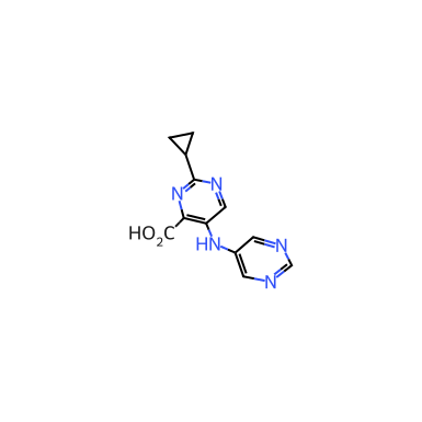 O=C(O)c1nc(C2CC2)ncc1Nc1cncnc1